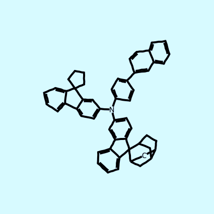 c1ccc2c(c1)-c1ccc(N(c3ccc(-c4ccc5ccccc5c4)cc3)c3ccc4c(c3)-c3ccccc3C43C4CCC5CC3CC5C4)cc1C21CCCC1